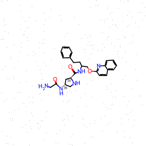 NCC(=O)N[C@H]1CN[C@H](C(=O)NC(CCc2ccccc2)COc2ccc3ccccc3n2)C1